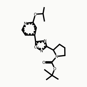 CC(C)Oc1cc(-c2nc(C3CCCN3C(=O)OC(C)(C)C)no2)ccn1